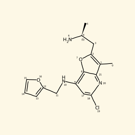 Cc1c(C[C@H](C)N)oc2c(NCc3ccco3)cc(Cl)nc12